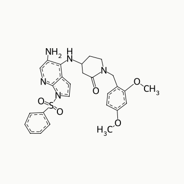 COc1ccc(CN2CCC(Nc3c(N)cnc4c3ccn4S(=O)(=O)c3ccccc3)CC2=O)c(OC)c1